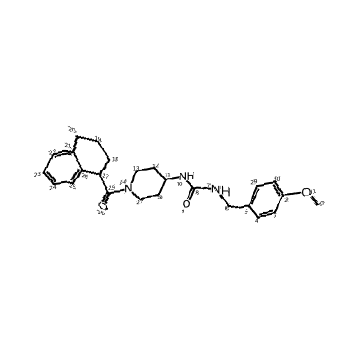 COc1ccc(CNC(=O)NC2CCN(C(=O)C3CCCc4ccccc43)CC2)cc1